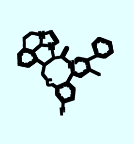 C=C1C2C(CCc3cc(F)ccc3-c3cc(C)c(-c4ccccc4)c[n+]31)c1cccc3c1C1N(C=CN21)CC3